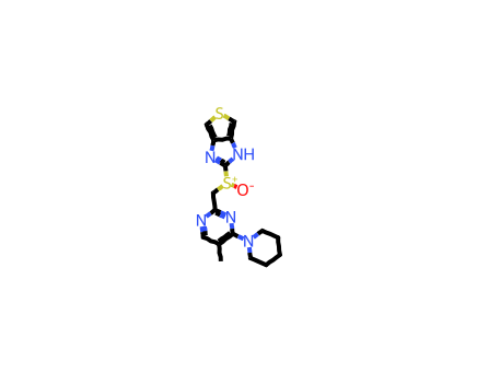 Cc1cnc(C[S+]([O-])c2nc3cscc3[nH]2)nc1N1CCCCC1